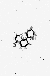 O=c1ccoc2c(C3=CC=CC=CN3)cccc12